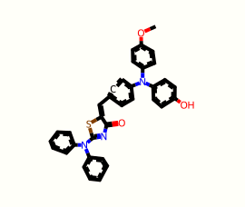 COc1ccc(N(c2ccc(O)cc2)c2ccc(/C=C3/SC(N(c4ccccc4)c4ccccc4)=NC3=O)cc2)cc1